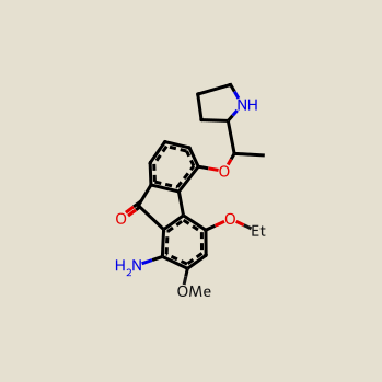 CCOc1cc(OC)c(N)c2c1-c1c(OC(C)C3CCCN3)cccc1C2=O